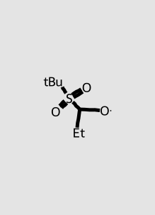 CCC([O])S(=O)(=O)C(C)(C)C